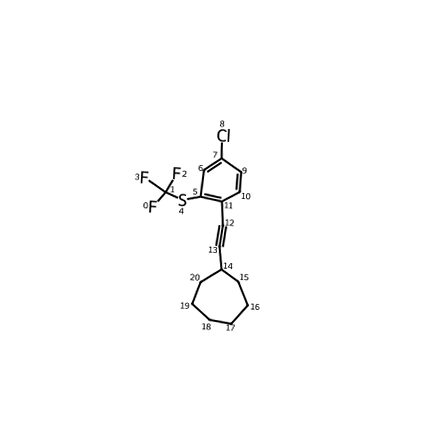 FC(F)(F)Sc1cc(Cl)ccc1C#CC1CCCCCC1